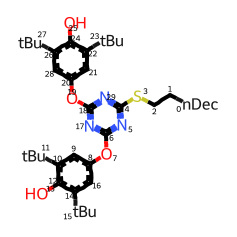 CCCCCCCCCCCCSc1nc(Oc2cc(C(C)(C)C)c(O)c(C(C)(C)C)c2)nc(Oc2cc(C(C)(C)C)c(O)c(C(C)(C)C)c2)n1